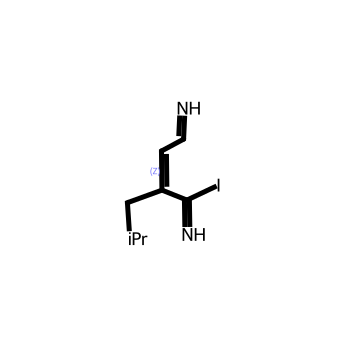 CC(C)C/C(=C/C=N)C(=N)I